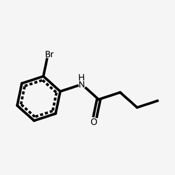 CCCC(=O)Nc1ccccc1Br